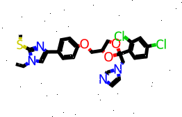 CCn1cc(-c2ccc(OCC3COC(Cn4ccnc4)(c4ccc(Cl)cc4Cl)O3)cc2)nc1SC